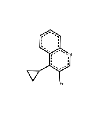 CC(C)c1cnc2ccccc2c1C1CC1